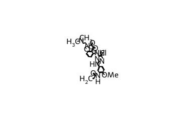 C=CC(=O)Nc1cc(Nc2ncc(Cl)c(Nc3ccccc3C(=O)C(=O)N(C)CCN(C)C)n2)ccc1OC